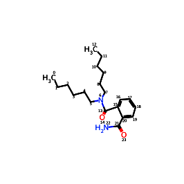 CCCCCCN(CCCCCC)C(=O)c1ccccc1C(N)=O